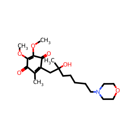 COC1=C(OC)C(=O)C(CC(C)(O)CCCCCN2CCOCC2)=C(C)C1=O